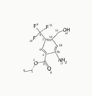 CCOC(=O)c1cc(C(F)(F)F)c(CO)cc1N